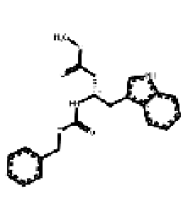 COC(=O)C[C@H](Cc1c[nH]c2ccccc12)NC(=O)OCc1ccccc1